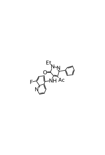 CCn1nc(-c2ccccc2)c(C(C)=O)c(Nc2ccc(F)c3ncccc23)c1=O